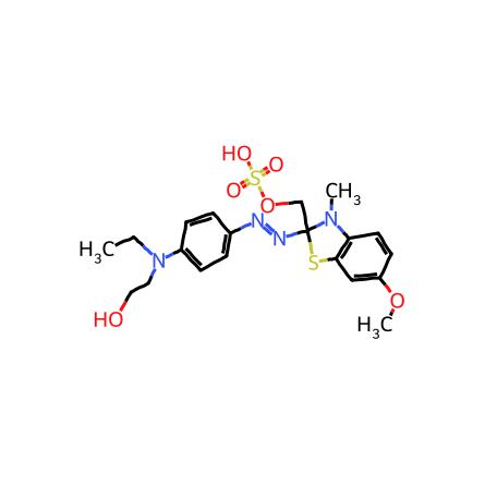 CCN(CCO)c1ccc(N=NC2(COS(=O)(=O)O)Sc3cc(OC)ccc3N2C)cc1